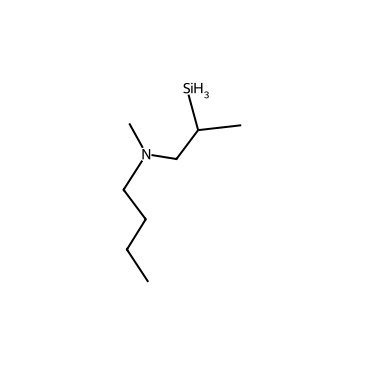 CCCCN(C)CC(C)[SiH3]